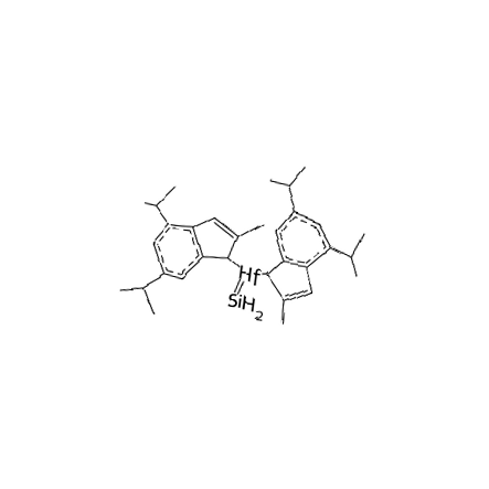 CC1=Cc2c(C(C)C)cc(C(C)C)cc2[CH]1[Hf](=[SiH2])[CH]1C(C)=Cc2c(C(C)C)cc(C(C)C)cc21